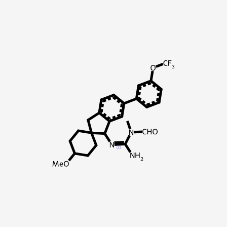 COC1CCC2(CC1)Cc1ccc(-c3cccc(OC(F)(F)F)c3)cc1C2/N=C(/N)N(C)C=O